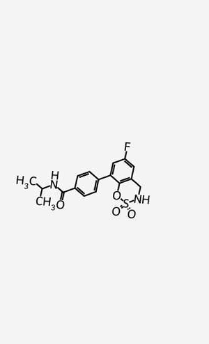 CC(C)NC(=O)c1ccc(-c2cc(F)cc3c2OS(=O)(=O)NC3)cc1